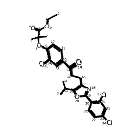 CCOC(=O)C(C)(C)Oc1ccc(C(=O)CCc2nc(-c3ccc(Cl)cc3Cl)oc2C(C)C)cc1Cl